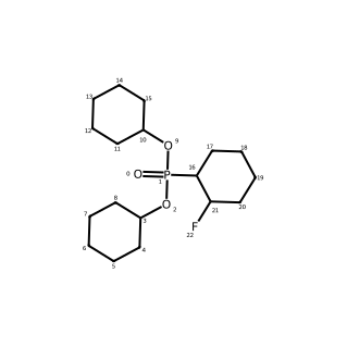 O=P(OC1CCCCC1)(OC1CCCCC1)C1CCCCC1F